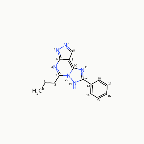 CCCc1nc2nncc-2c2nc(-c3ccccc3)[nH]n12